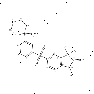 COC1(c2cccc(S(=O)(=O)c3ccc4c(c3)C(C)(C)C(=O)N4C)c2)CCOCC1